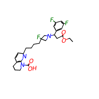 CCOC(=O)CC(c1cc(F)cc(F)c1)N1CC(F)(CCCCc2ccc3c(n2)N(C(=O)O)CCC3)C1